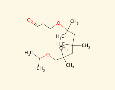 CC(C)OCC(C)(C)CC(C)(C)CC(C)(C)OCCC=O